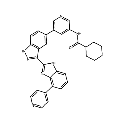 O=C(Nc1cncc(-c2ccc3[nH]nc(-c4nc5c(-c6ccncc6)cccc5[nH]4)c3c2)c1)C1CCCCC1